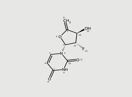 C=C1O[C@@H](n2ccc(=O)[nH]c2=O)[C@@H](F)[C@@H]1O